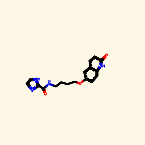 O=C(NCCCCOc1ccc2[nH]c(=O)ccc2c1)c1ncc[nH]1